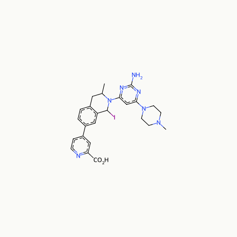 CC1Cc2ccc(-c3ccnc(C(=O)O)c3)cc2C(I)N1c1cc(N2CCN(C)CC2)nc(N)n1